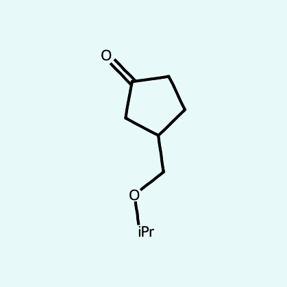 CC(C)OCC1CCC(=O)C1